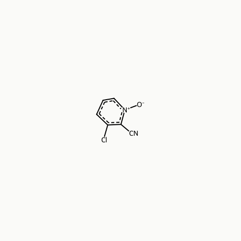 N#Cc1c(Cl)ccc[n+]1[O-]